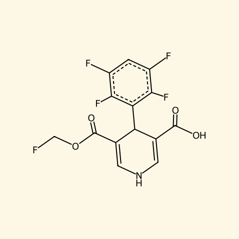 O=C(O)C1=CNC=C(C(=O)OCF)C1c1c(F)c(F)cc(F)c1F